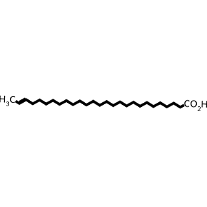 CC=CCCCCCCCCCCCCCCCCCCCCCCCC(=O)O